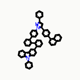 c1ccc(-c2cc(-c3ccc(-c4cccc5ccccc45)cc3)n(-c3ccc(-c4ccccc4-c4ccccc4-c4ccc5c(c4)c4ccccc4n5-c4ccccc4)cc3)n2)cc1